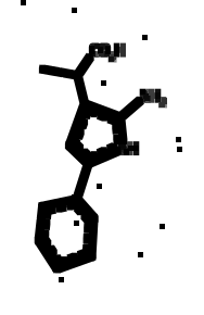 CC(C(=O)O)c1cc(-c2ccccc2)[nH]c1N